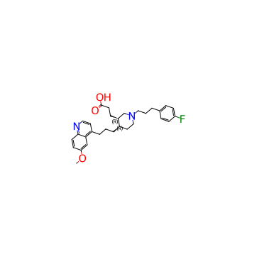 COc1ccc2nccc(CCC[C@@H]3CCN(CCCc4ccc(F)cc4)C[C@@H]3CCC(=O)O)c2c1